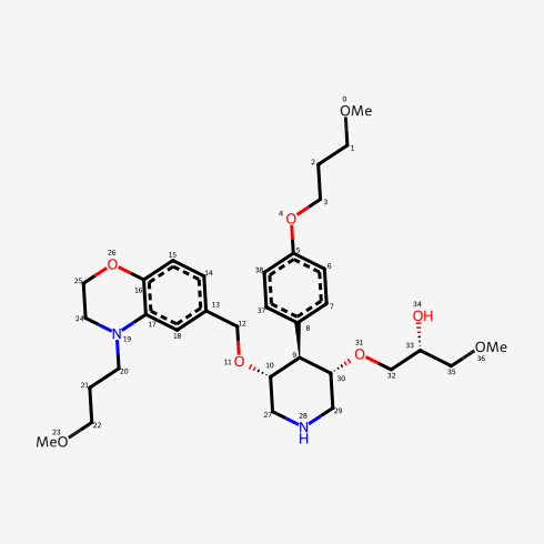 COCCCOc1ccc([C@@H]2[C@@H](OCc3ccc4c(c3)N(CCCOC)CCO4)CNC[C@H]2OC[C@H](O)COC)cc1